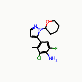 Cc1c(-c2ccnn2C2CCCCO2)cc(F)c(N)c1Cl